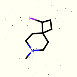 CN1CCC2(CCC2I)CC1